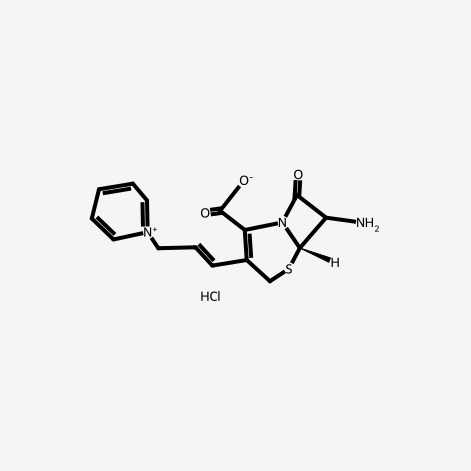 Cl.NC1C(=O)N2C(C(=O)[O-])=C(C=CC[n+]3ccccc3)CS[C@@H]12